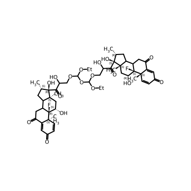 CCOC(OCC(O)C(=O)[C@@]1(O)[C@@H](C)CC2C3CC(=O)C4=CC(=O)C=C[C@]4(C)[C@@]3(F)[C@@H](O)C[C@@]21C)OC(OCC)OCC(O)C(=O)[C@]1(O)[C@H](C)CC2C3CC(=O)C4=CC(=O)C=C[C@]4(C)[C@]3(F)[C@H](O)C[C@@]21C